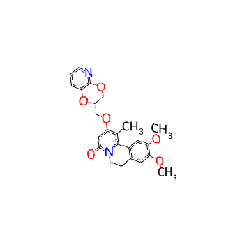 COc1cc2c(cc1OC)-c1c(C)c(OC[C@H]3COc4ncccc4O3)cc(=O)n1CC2